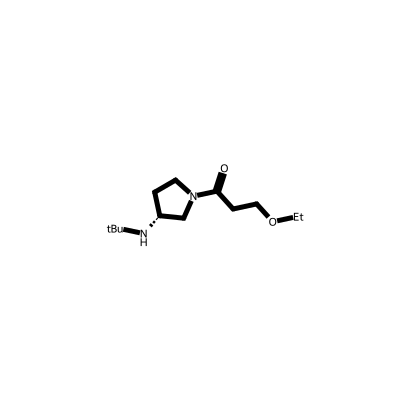 CCOCCC(=O)N1CC[C@@H](NC(C)(C)C)C1